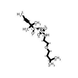 CC#CC(C)(C)[S+]([O-])NS(=O)(=O)NCCOCCC(C)C